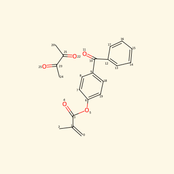 C=C(C)C(=O)Oc1ccc(C(=O)c2ccccc2)cc1.CC(=O)C(C)=O